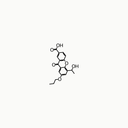 CCCOc1cc(C(C)O)c2oc3ccc(C(=O)O)cc3c(=O)c2c1